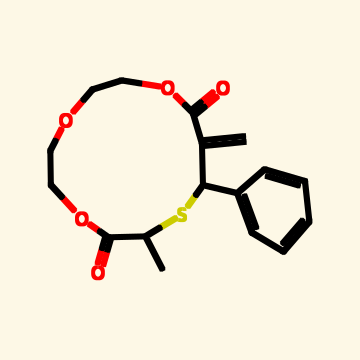 C=C1C(=O)OCCOCCOC(=O)C(C)SC1c1ccccc1